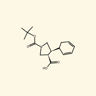 CC(C)(C)OC(=O)N1C[C@H](C(=O)O)[C@H](C2C=CC=CC2)C1